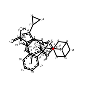 Cc1cc(C(=O)O)cc2sc(N3C4CC(NCc5c(-c6ccccc6C(F)(F)F)noc5C5CC5)CC3C4)nc12